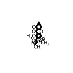 Cc1cc(-c2c(S(C)(=O)=O)ccc(C(=O)C3C(=O)CC4CC4C3=O)c2C)on1